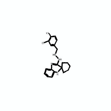 Clc1ccc(CNNC2=Nc3ccccc3NC23CCCCC3)cc1Cl